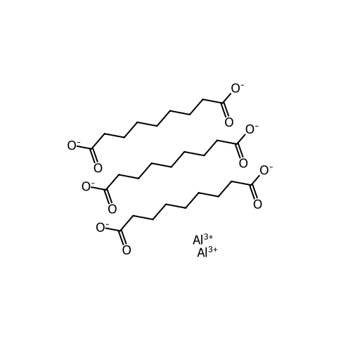 O=C([O-])CCCCCCCC(=O)[O-].O=C([O-])CCCCCCCC(=O)[O-].O=C([O-])CCCCCCCC(=O)[O-].[Al+3].[Al+3]